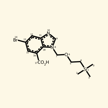 C[Si](C)(C)CCOCn1cnc2cc(Br)cc(C(=O)O)c21